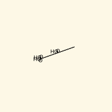 CCCCCCCCCCCCCCCCCCCCC(CCCCCCCCCCCCCCCCCCCC(C(=O)O)C(=O)O)C(=O)O